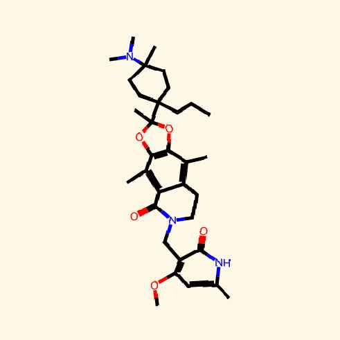 CCCC1(C2(C)Oc3c(C)c4c(c(C)c3O2)C(=O)N(Cc2c(OC)cc(C)[nH]c2=O)CC4)CCC(C)(N(C)C)CC1